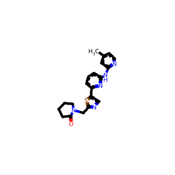 Cc1ccnc(Nc2cccc(-c3cnc(CN4CCCCC4=O)s3)n2)c1